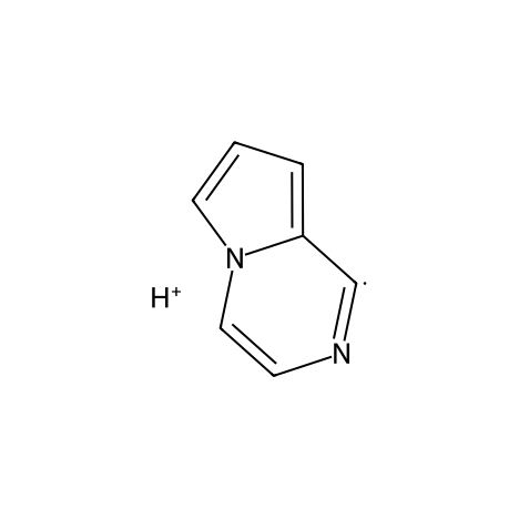 [H+].[c]1nccn2cccc12